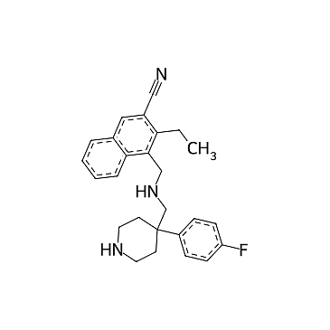 CCc1c(C#N)cc2ccccc2c1CNCC1(c2ccc(F)cc2)CCNCC1